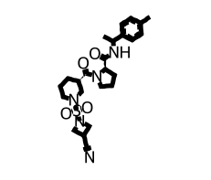 Cc1ccc(C(C)NC(=O)[C@H]2CCCN2C(=O)[C@H]2CCCN(S(=O)(=O)N3CC(C#N)C3)C2)cc1